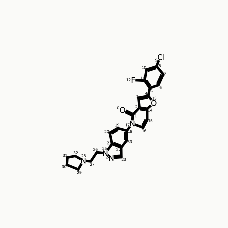 O=c1c2cc(-c3ccc(Cl)cc3F)oc2ccn1-c1ccc2c(cnn2CCN2CCCC2)c1